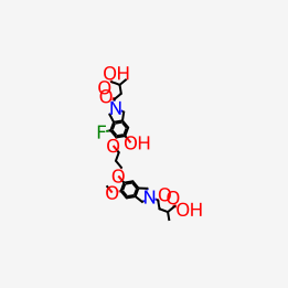 COc1cc2c(cc1OCCCOc1c(O)cc3c(c1F)CN(C(=O)CC(C)C(=O)O)C3)CN(C(=O)CC(C)C(=O)O)C2